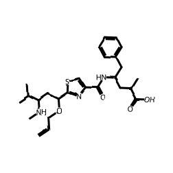 C=CCOC(CC(NC)C(C)C)c1nc(C(=O)NC(Cc2ccccc2)CC(C)C(=O)O)cs1